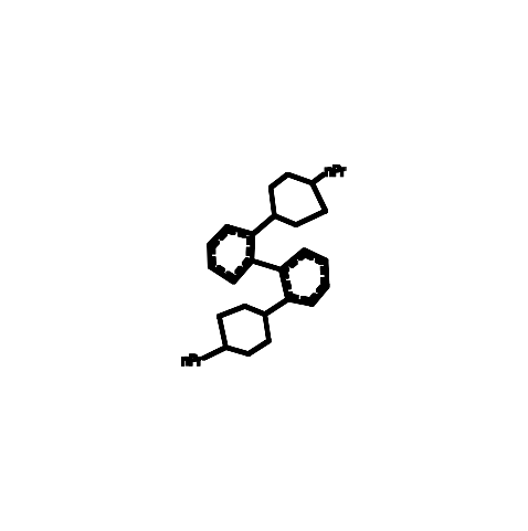 CCCC1CCC(c2ccccc2-c2ccccc2C2CCC(CCC)CC2)CC1